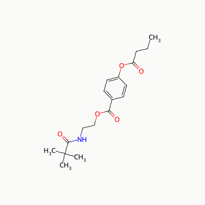 CCCC(=O)Oc1ccc(C(=O)OCCNC(=O)C(C)(C)C)cc1